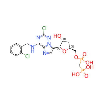 O=P(O)(O)CP(=O)(O)OC[C@@H]1C[C@@H](O)[C@H](c2cnc3c(NCc4ccccc4Cl)nc(Cl)nn23)O1